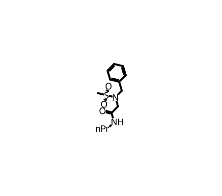 CCCNC(=O)CN(Cc1ccccc1)S(C)(=O)=O